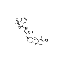 Cc1c(Cl)ccc(OC2CCN(C[C@H](O)CNC(=O)c3ccccc3S(C)(=O)=O)CC2)c1Cl